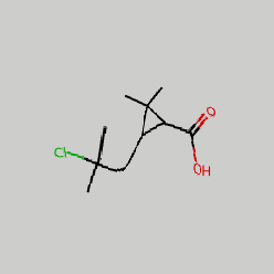 CC(C)(Cl)CC1C(C(=O)O)C1(C)C